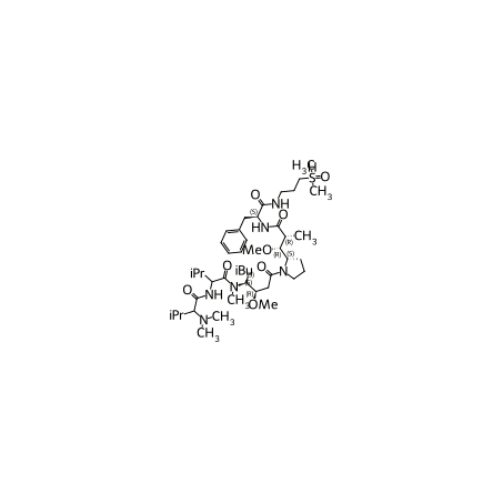 CC[C@H](C)[C@@H]([C@@H](CC(=O)N1CCC[C@H]1[C@H](OC)[C@@H](C)C(=O)N[C@@H](Cc1ccccc1)C(=O)NCCC[SH](C)(C)=O)OC)N(C)C(=O)C(NC(=O)C(C(C)C)N(C)C)C(C)C